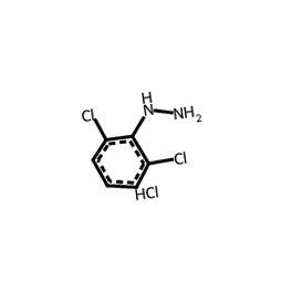 Cl.NNc1c(Cl)cccc1Cl